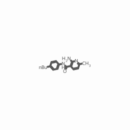 CCCCc1ccc(NC(=O)c2ccc(C)nc2N)cc1